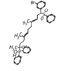 C/C(=C\CC(c1cccc(Br)c1)S(=O)(=O)c1ccccc1)CC/C=C(\C)CCC(C)(C)[Si](O)(c1ccccc1)c1ccccc1